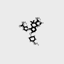 CC1(C)Cc2c(ccc(O[C@H]3CC[C@H](N)CC3)c2N2CCC(C(N)=O)C2)-c2ncnc(N)c21